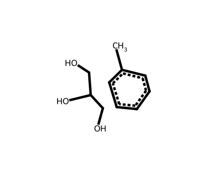 Cc1ccccc1.OCC(O)CO